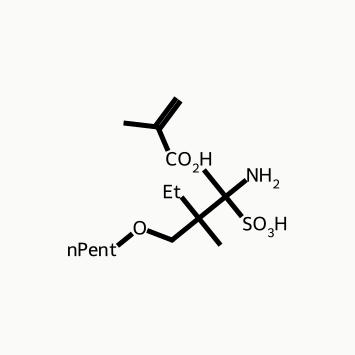 C=C(C)C(=O)O.CCCCCOCC(C)(CC)C(C)(N)S(=O)(=O)O